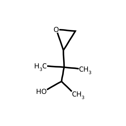 CC(O)C(C)(C)C1CO1